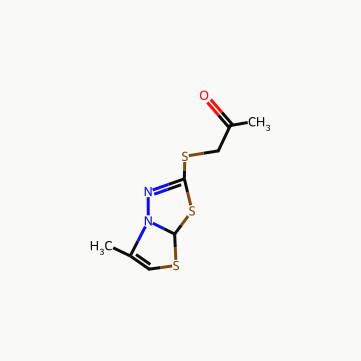 CC(=O)CSC1=NN2C(C)=CSC2S1